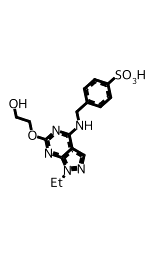 CCn1ncc2c(NCc3ccc(S(=O)(=O)O)cc3)nc(OCCO)nc21